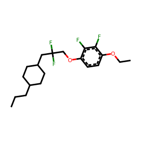 CCCC1CCC(CC(F)(F)COc2ccc(OCC)c(F)c2F)CC1